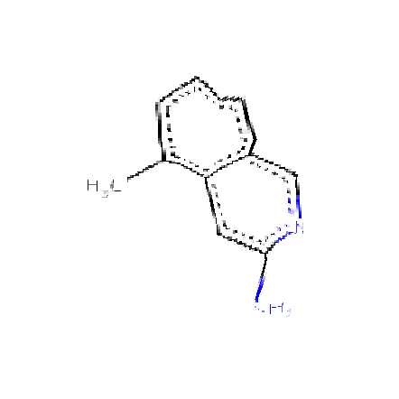 Cc1cccc2cnc(N)cc12